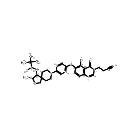 C[C@@H]1OCC2(CCN(c3cnc(Sc4ccc5ncn(CCC#N)c(=O)c5c4Cl)cn3)CC2)[C@@H]1N[S+]([O-])C(C)(C)C